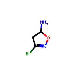 NC1CC(Br)=NO1